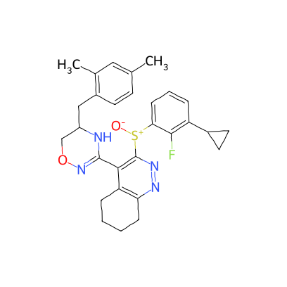 Cc1ccc(CC2CON=C(c3c([S+]([O-])c4cccc(C5CC5)c4F)nnc4c3CCCC4)N2)c(C)c1